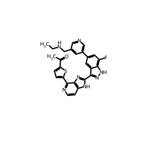 CCNCc1cncc(-c2cc(F)c3[nH]nc(-c4nc5c(-c6ccc(C(C)=O)s6)nccc5[nH]4)c3c2)c1